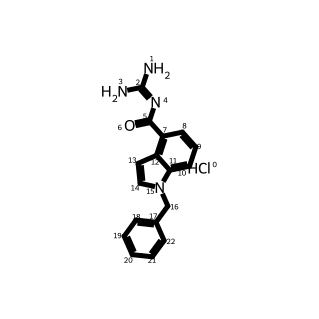 Cl.NC(N)=NC(=O)c1cccc2c1ccn2Cc1ccccc1